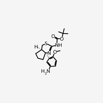 COc1ccc(N)cc1[C@]12CCC[C@H]1CSC(NC(=O)OC(C)(C)C)=N2